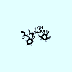 C=CC(=O)N(c1ccccc1)[C@@H](C)C(=O)N[C@@H](Cc1ccc(C)c(C)c1)B(O)O